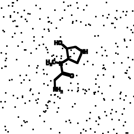 CN(C(=O)CN)C1CNCC1O